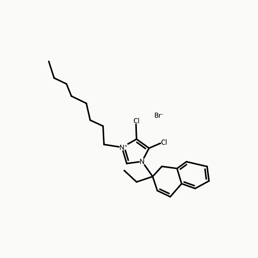 CCCCCCCC[n+]1cn(C2(CC)C=Cc3ccccc3C2)c(Cl)c1Cl.[Br-]